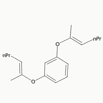 CCCC=C(C)Oc1cccc(OC(C)=CCCC)c1